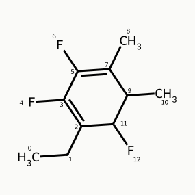 CCC1=C(F)C(F)=C(C)C(C)C1F